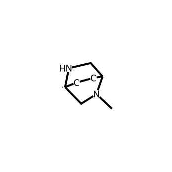 CN1C[C]2CCC1CN2